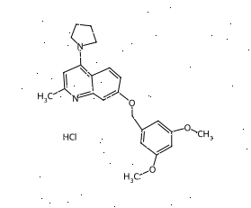 COc1cc(COc2ccc3c(N4CCCC4)cc(C)nc3c2)cc(OC)c1.Cl